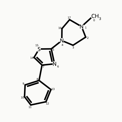 CN1CCN(c2nc(-c3ccccc3)cs2)CC1